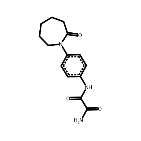 NC(=O)C(=O)Nc1ccc(N2CCCCCC2=O)cc1